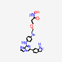 CN(CCOCCC(=O)NO)c1ccc(Nc2nc(-c3ccc4cn[nH]c4c3)cn3ccnc23)cc1